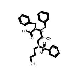 CCCCN(C[C@@H](O)[C@H](Cc1ccccc1)N(Cc1ccccc1)C(=O)O)S(=O)(=O)c1ccccc1